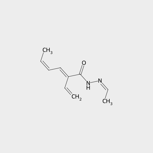 C=C/C(=C\C=C/C)C(=O)N/N=C\C